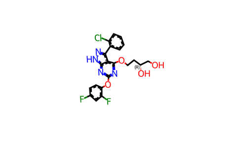 OC[C@H](O)CCOc1nc(Oc2ccc(F)cc2F)nc2[nH]nc(-c3ccccc3Cl)c12